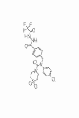 O=C(NNC(=O)C(F)(F)F)c1ccc(CN(C(=O)N2CCS(=O)(=O)CC2)c2ccc(Cl)cc2)cc1